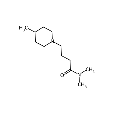 CC1CCN(CCCC(=O)N(C)C)CC1